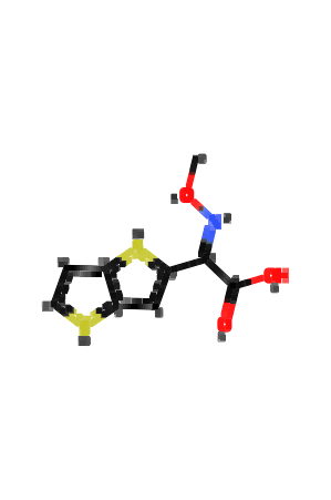 CO/N=C(/C(=O)O)c1cc2sccc2s1